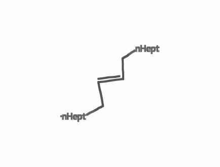 [CH2]CCCCCCC/C=C/C[CH]CCCCCC